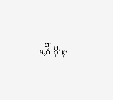 O.O.[Cl-].[K+]